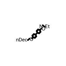 CCCCCCCCCCCCOc1ccc(-c2ccc(C3=NCC(CC)O3)cc2)cc1